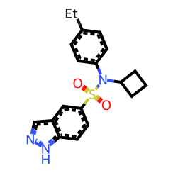 CCc1ccc(N(C2CCC2)S(=O)(=O)c2ccc3[nH]ncc3c2)cc1